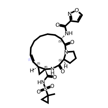 CC1(S(=O)(=O)NC(=O)[C@@]23C[C@H]2/C=C\CCCCC[C@H](NC(=O)c2ccon2)C(=O)N2CCC[C@H]2C(=O)N3)CC1